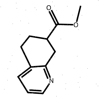 COC(=O)C1CCc2cccnc2C1